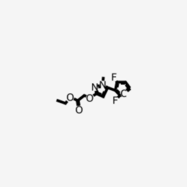 CCOC(=O)COc1cc(-c2c(F)cccc2F)n(C)n1